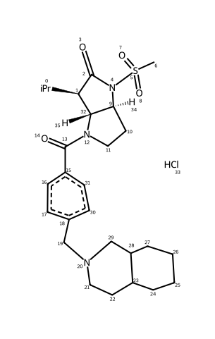 CC(C)[C@H]1C(=O)N(S(C)(=O)=O)[C@H]2CCN(C(=O)c3ccc(CN4CCC5CCCCC5C4)cc3)[C@H]12.Cl